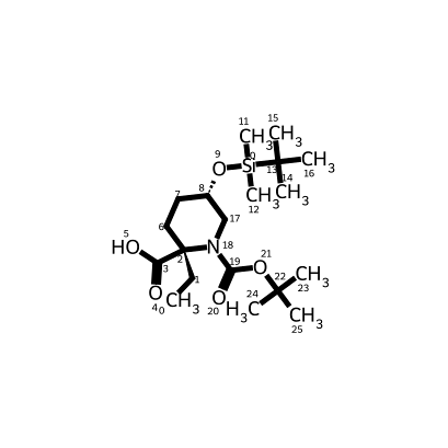 CC[C@@]1(C(=O)O)CC[C@H](O[Si](C)(C)C(C)(C)C)CN1C(=O)OC(C)(C)C